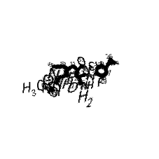 CNS(=O)(=O)Nc1nccc(Cc2cc(C(N)=O)c(Nc3ccc(C4CC4)cc3F)n(C)c2=O)c1F